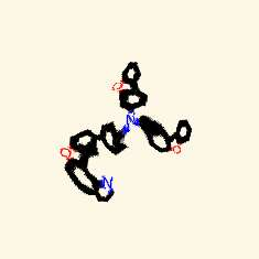 C1=CC2Oc3ccccc3C2C=C1N(c1ccc(-c2ccc3oc4ccc5cccnc5c4c3c2)cc1)c1ccc2c(c1)oc1ccccc12